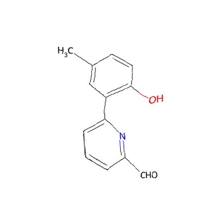 Cc1ccc(O)c(-c2cccc(C=O)n2)c1